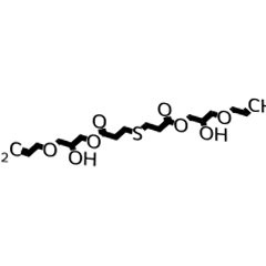 C=CCOCC(O)COC(=O)CCSCCC(=O)OCC(O)COCC=C